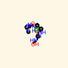 O=C(Nc1cccc(-c2cccc(NC(=O)c3cc4n(n3)CCC[C@H]4N3CCCC3)c2Cl)c1Cl)c1ccc(CNCCO)cn1